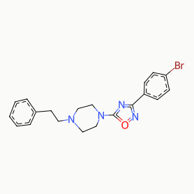 Brc1ccc(-c2noc(N3CCN(CCc4ccccc4)CC3)n2)cc1